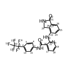 O=C(Nc1ccc(C(F)(F)C(F)(F)F)cc1)c1cccnc1Nc1cccc2c1CNC2=O